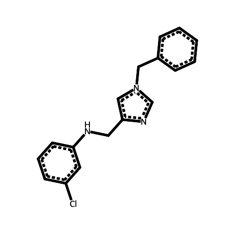 Clc1cccc(NCc2cn(Cc3ccccc3)cn2)c1